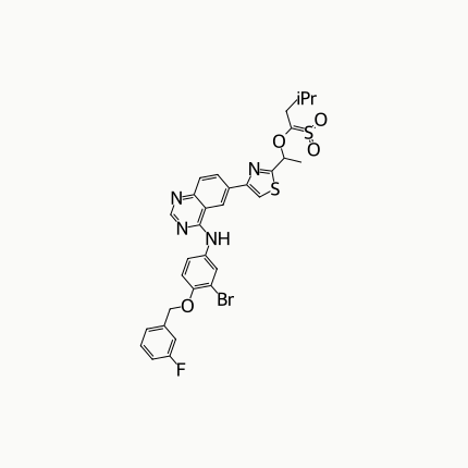 CC(C)CC(OC(C)c1nc(-c2ccc3ncnc(Nc4ccc(OCc5cccc(F)c5)c(Br)c4)c3c2)cs1)=S(=O)=O